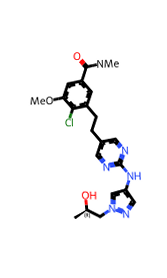 CNC(=O)c1cc(CCc2cnc(Nc3cnn(C[C@@H](C)O)c3)nc2)c(Cl)c(OC)c1